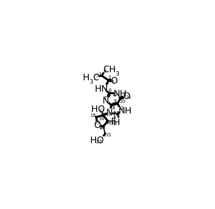 CC(C)C(=O)Nc1nc2c(c(=O)[nH]1)NNN2[C@@]1(O)CO[C@H](CO)[C@H]1F